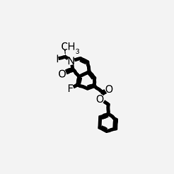 C[C@@H](I)n1ccc2cc(C(=O)OCc3ccccc3)cc(F)c2c1=O